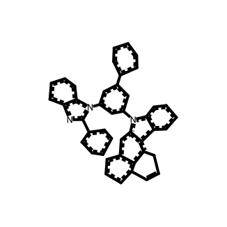 C1=Cc2cccc3cc4c(c(c23)C1)c1ccccc1n4-c1cc(-c2ccccc2)cc(-n2c(-c3ccccc3)nc3ccccc32)c1